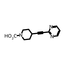 O=C(O)N1CCC(C#Cc2ncccn2)CC1